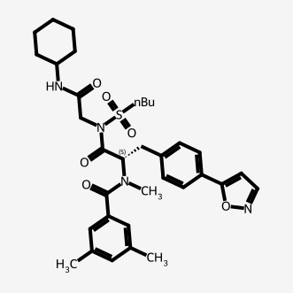 CCCCS(=O)(=O)N(CC(=O)NC1CCCCC1)C(=O)[C@H](Cc1ccc(-c2ccno2)cc1)N(C)C(=O)c1cc(C)cc(C)c1